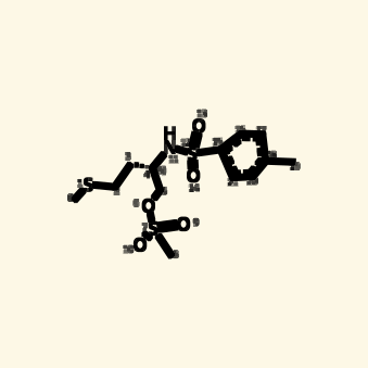 CSCC[C@@H](COS(C)(=O)=O)NS(=O)(=O)c1ccc(C)cc1